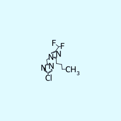 CCCCc1nc(C(F)F)cn1Cc1ncc(Cl)cn1